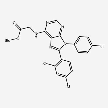 CC(C)(C)OC(=O)CNc1ncnc2c1nc(-c1ccc(Cl)cc1Cl)n2-c1ccc(Cl)cc1